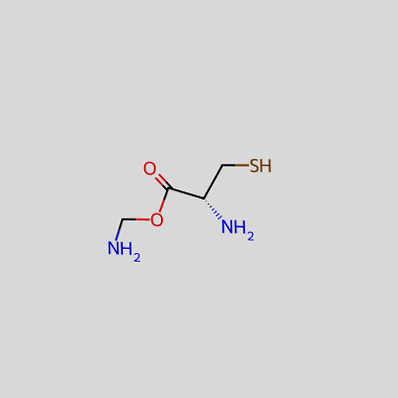 NCOC(=O)[C@@H](N)CS